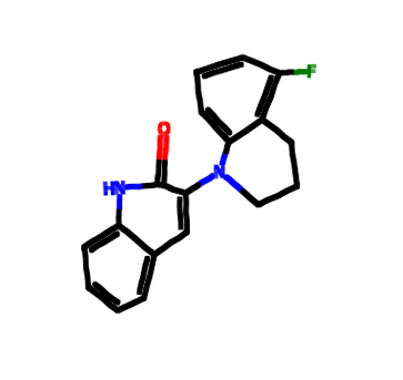 O=c1[nH]c2ccccc2cc1N1CCCc2c(F)cccc21